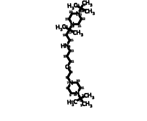 CC(C)(C)N1CCN(CCOCCCNCCC(C)(C)N2CCN(C(C)(C)C)CC2)CC1